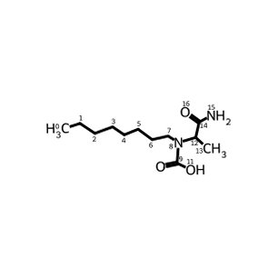 CCCCCCCCN(C(=O)O)C(C)C(N)=O